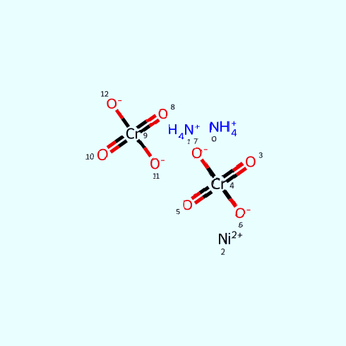 [NH4+].[NH4+].[Ni+2].[O]=[Cr](=[O])([O-])[O-].[O]=[Cr](=[O])([O-])[O-]